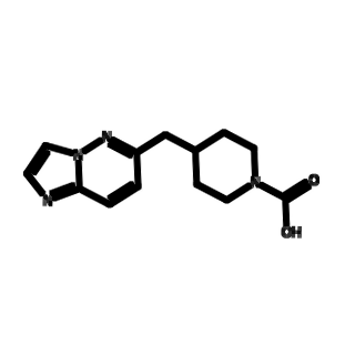 O=C(O)N1CCC(Cc2ccc3nccn3n2)CC1